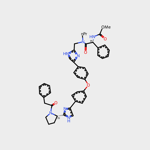 CCCN(Cc1nc(-c2ccc(Oc3ccc(-c4c[nH]c([C@@H]5CCCN5C(=O)Cc5ccccc5)n4)cc3)cc2)c[nH]1)C(=O)[C@H](NC(=O)OC)c1ccccc1